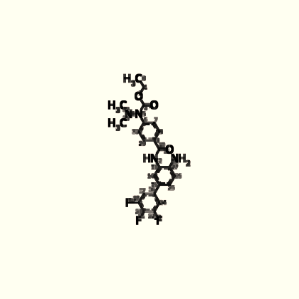 CCOC(=O)N(c1ccc(C(=O)Nc2cc(-c3cc(F)c(F)c(F)c3)ccc2N)cc1)N(C)C